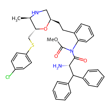 COC(=O)N(C(=O)[C@@H](N)C(c1ccccc1)c1ccccc1)c1ccccc1CC[C@@H]1CN[C@H](C)[C@@H](CSc2ccc(Cl)cc2)O1